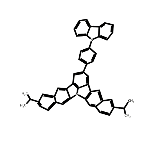 CC(C)c1ccc2cc3c(cc2c1)c1cc(-c2ccc(-n4c5ccccc5c5ccccc54)cc2)cc2c4cc5cc(C(C)C)ccc5cc4n3c12